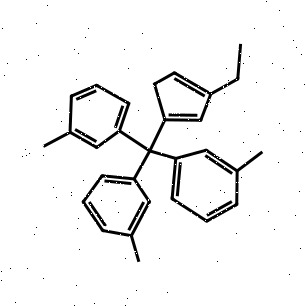 CCC1=CCC(C(c2cccc(C)c2)(c2cccc(C)c2)c2cccc(C)c2)=C1